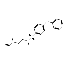 CN(CCN(O)C=O)S(=O)(=O)c1ccc(Oc2ccncc2)cc1